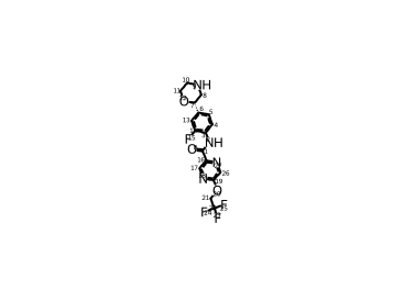 O=C(Nc1ccc([C@H]2CNCCO2)cc1F)c1cnc(OCC(F)(F)F)cn1